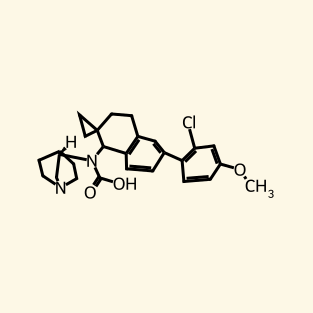 COc1ccc(-c2ccc3c(c2)CCC2(CC2)C3N(C(=O)O)[C@@H]2CN3CCC2CC3)c(Cl)c1